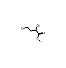 CCOC(=O)C(C#N)CCCl